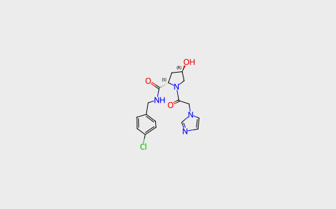 O=C(NCc1ccc(Cl)cc1)[C@@H]1C[C@@H](O)CN1C(=O)Cn1ccnc1